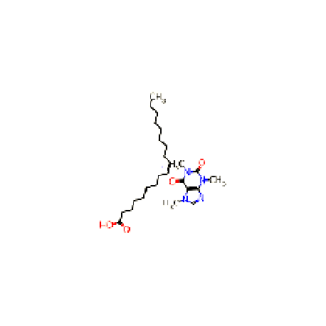 CCCCCCCC/C=C\CCCCCCCC(=O)O.Cn1c(=O)c2c(ncn2C)n(C)c1=O